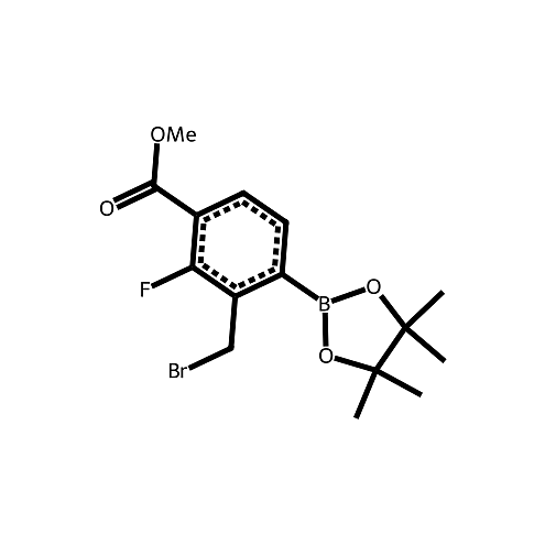 COC(=O)c1ccc(B2OC(C)(C)C(C)(C)O2)c(CBr)c1F